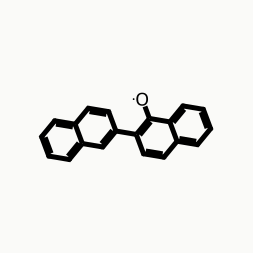 [O]c1c(-c2ccc3ccccc3c2)ccc2ccccc12